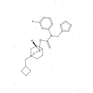 O=C(O[C@H]1C[N+]2(CC3CCC3)CCC1CC2)N(Cc1ccsc1)c1cccc(F)c1